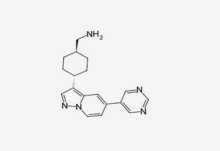 NC[C@H]1CC[C@H](c2cnn3ccc(-c4cncnc4)cc23)CC1